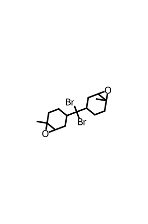 CC12CCC(C(Br)(Br)C3CCC4(C)OC4C3)CC1O2